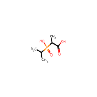 CC(C)P(=O)(O)C(C)C(=O)O